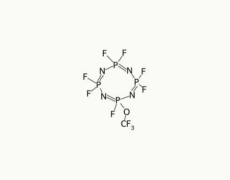 FC(F)(F)OP1(F)=NP(F)(F)=NP(F)(F)=NP(F)(F)=N1